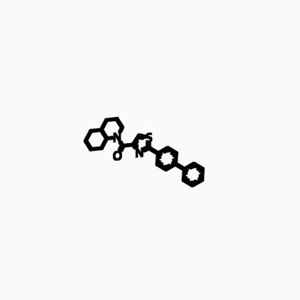 O=C(c1csc(-c2ccc(-c3ccccc3)cc2)n1)N1CCCC2CCCCC21